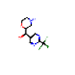 O=C(c1cnc(C(F)(F)F)nc1)C1CNCCO1